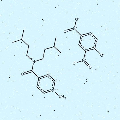 CC(C)CCN(CCC(C)C)C(=O)c1cc[n+](N)cc1.O=[N+]([O-])c1ccc([O-])c([N+](=O)[O-])c1